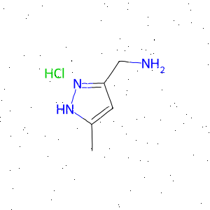 Cc1cc(CN)n[nH]1.Cl